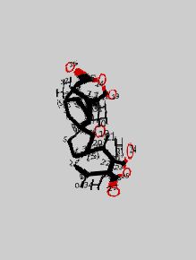 C[C@H]1C[C@@]2(CC[C@]3(C[C@@H]4C[C@H]3[C@H]3C(=O)OC(=O)[C@@H]43)C2=O)[C@@H](C)[C@H]2C(=O)OC(=O)[C@H]21